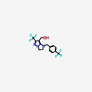 OCc1c(C(F)(F)F)nn2c1N(Cc1ccc(C(F)(F)F)cc1)CC2